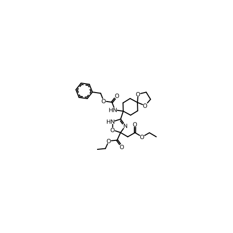 CCOC(=O)CC1(C(=O)OCC)N=C(C2(NC(=O)OCc3ccccc3)CCC3(CC2)OCCO3)NO1